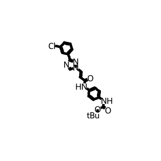 CC(C)(C)OC(=O)Nc1ccc(NC(=O)C=Cn2cnc(-c3cccc(Cl)c3)n2)cc1